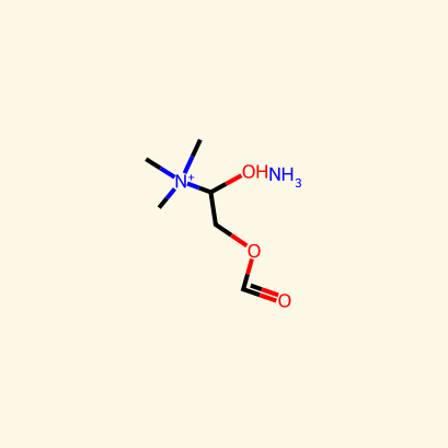 C[N+](C)(C)C(O)COC=O.N